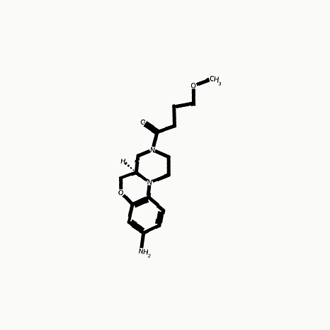 COCCCC(=O)N1CCN2c3ccc(N)cc3OC[C@H]2C1